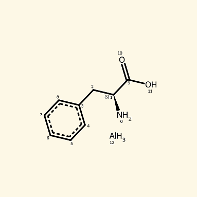 N[C@@H](Cc1ccccc1)C(=O)O.[AlH3]